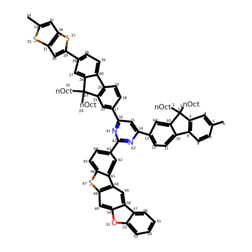 CCCCCCCCC1(CCCCCCCC)c2cc(C)ccc2-c2ccc(-c3cc(-c4ccc5c(c4)C(CCCCCCCC)(CCCCCCCC)c4cc(-c6cc7sc(C)cc7s6)ccc4-5)nc(-c4ccc5sc6cc7oc8ccccc8c7cc6c5c4)n3)cc21